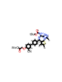 COC(=O)COc1ccc(-c2ccc(C3=NC(NC(=O)OC(C)(C)C)c4nnc(C)n4-c4sc(C)c(C)c43)cc2)cc1C#N